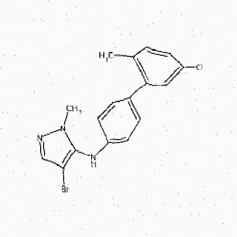 Cc1ccc(Cl)cc1-c1ccc(Nc2c(Br)cnn2C)cc1